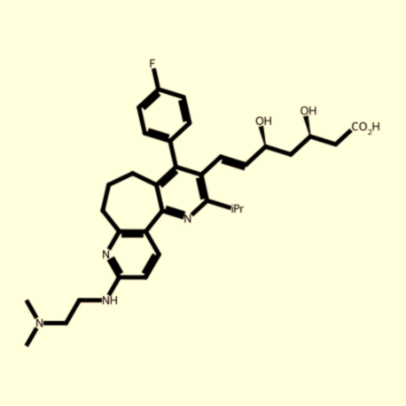 CC(C)c1nc2c(c(-c3ccc(F)cc3)c1/C=C/[C@@H](O)C[C@@H](O)CC(=O)O)CCCc1nc(NCCN(C)C)ccc1-2